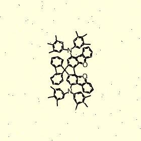 Cc1cc(N(c2cc(C)c(C)c(C)c2)c2cc3c(c4oc5ccccc5c24)-c2c(cc(N(c4cc(C)c(C)c(C)c4)c4cc(C)c(C)c(C)c4)c4c2oc2ccccc24)C32c3ccccc3-c3ccccc32)cc(C)c1C